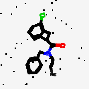 CC(=O)CCN(Cc1ccccc1)C(=O)C1Cc2c(Cl)cccc21